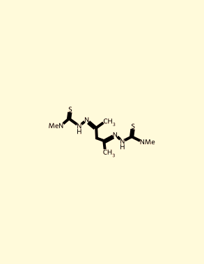 CNC(=S)NN=C(C)CC(C)=NNC(=S)NC